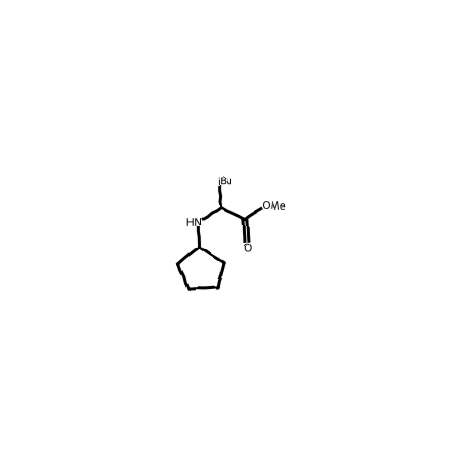 CCC(C)C(NC1CCCC1)C(=O)OC